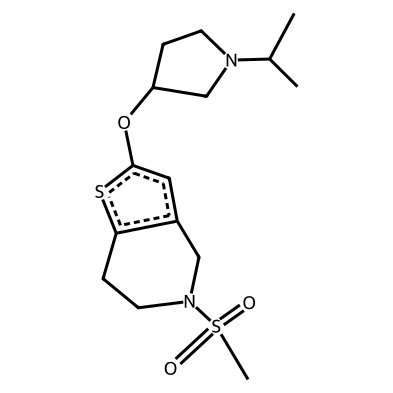 CC(C)N1CCC(Oc2cc3c(s2)CCN(S(C)(=O)=O)C3)C1